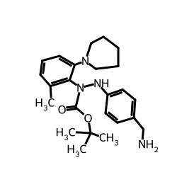 Cc1cccc(N2CCCCC2)c1N(Nc1ccc(CN)cc1)C(=O)OC(C)(C)C